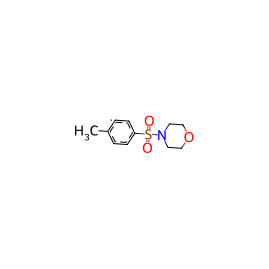 Cc1[c]cc(S(=O)(=O)N2CCOCC2)cc1